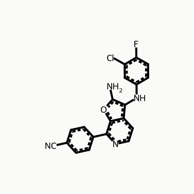 N#Cc1ccc(-c2nccc3c(Nc4ccc(F)c(Cl)c4)c(N)oc23)cc1